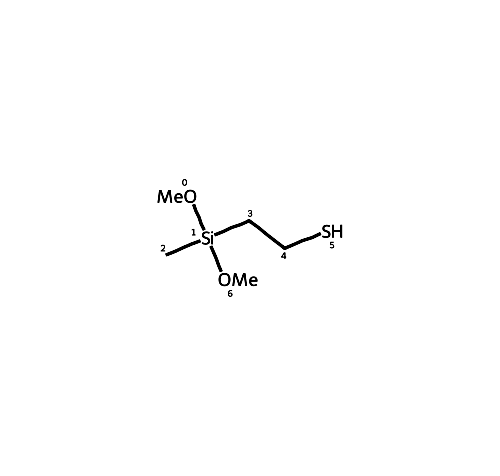 CO[Si](C)(CCS)OC